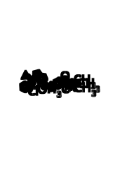 Cn1nc(C(C)(C)C)cc1C(=O)N1CCC2(CCN(C(=O)c3ccc4c(c3)C(N(C(=O)c3ccccc3Cl)C3CC3)CC4)C2)CC1